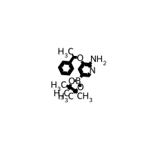 C[C@@H](Oc1cc(B2OC(C)(C)C(C)(C)O2)cnc1N)c1ccccc1